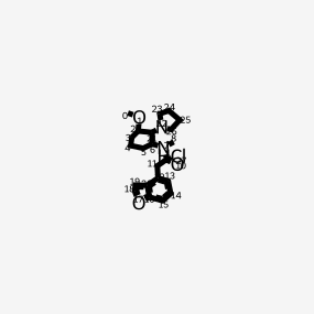 COC1CCCC(N(C)C(=O)Cc2cccc3occc23)C1N1CCCC1.Cl